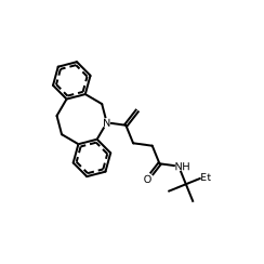 C=C(CCC(=O)NC(C)(C)CC)N1Cc2ccccc2CCc2ccccc21